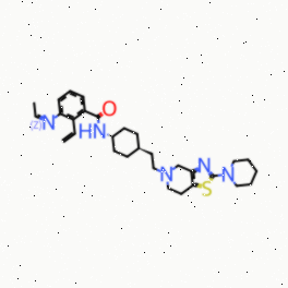 C=Cc1c(/N=C\C)cccc1C(=O)N[C@H]1CC[C@H](CCN2CCc3sc(N4CCCCC4)nc3C2)CC1